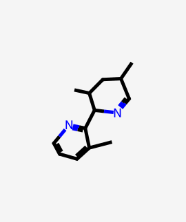 Cc1cccnc1C1N=CC(C)CC1C